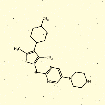 Cc1sc(Nc2ncc(N3CCNCC3)cn2)c(C)c1C1CCC(C)CC1